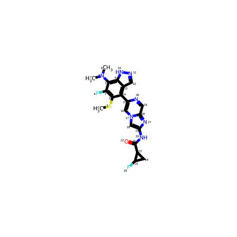 CSc1c(F)c(N(C)C)c2[nH]ncc2c1-c1cn2cc(NC(=O)C3CC3F)nc2cn1